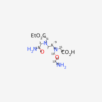 CCOC(=O)CN(CC(N)=O)C[C@H](C)N(COCN)CC(=O)O